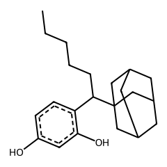 CCCCCC(c1ccc(O)cc1O)C12CC3CC(CC(C3)C1)C2